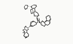 c1ccc(-c2cccc3c2oc2cc(N(c4ccc(-c5ccc6sc7ccccc7c6c5)cc4)c4ccc5ccc6ccccc6c5c4)ccc23)cc1